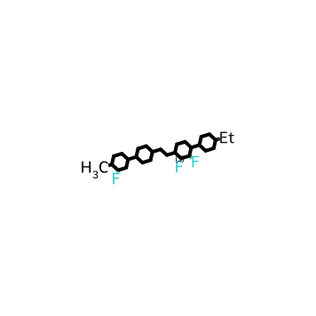 CCC1CCC(C2CCC(CCC3CCC(C4CCC(C)C(F)C4)CC3)[C@H](F)C2F)CC1